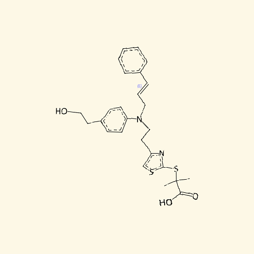 CC(C)(Sc1nc(CCN(C/C=C/c2ccccc2)c2ccc(CCO)cc2)cs1)C(=O)O